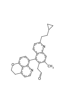 Cc1cc2nc(CCC3CC3)ccc2c(-c2ccc3c4c(ccnc24)CCO3)c1CC=O